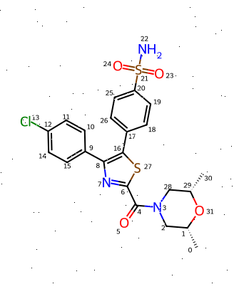 C[C@@H]1CN(C(=O)c2nc(-c3ccc(Cl)cc3)c(-c3ccc(S(N)(=O)=O)cc3)s2)C[C@H](C)O1